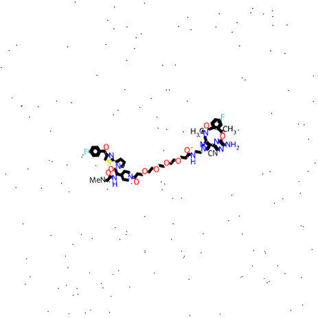 CNCC(=O)N[C@H](C(=O)N1CCC[C@H]1C1=NC(C(=O)c2ccc(F)cc2)CS1)C1CCN(C(=O)CCOCCOCCOCCOCCC(=O)NCCn2nc3c(c2C#N)-c2cnc(N)c(n2)O[C@H](C)c2cc(F)ccc2C(=O)N(C)C3)CC1